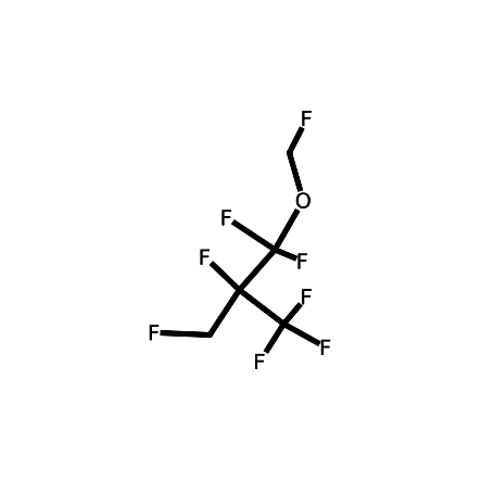 FCOC(F)(F)C(F)(CF)C(F)(F)F